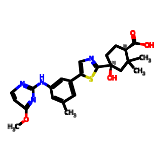 COc1ccnc(Nc2cc(C)cc(-c3cnc([C@]4(O)CC[C@@H](C(=O)O)C(C)(C)C4)s3)c2)n1